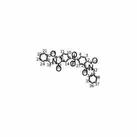 O=C1c2ccc(S(=O)(=O)c3ccc4c(c3)C(=O)N(Cc3ccccc3)C4=O)cc2C(=O)N1Cc1ccccc1